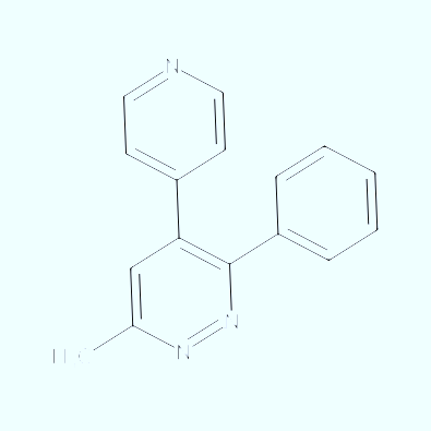 Cc1cc(-c2ccncc2)c(-c2ccccc2)nn1